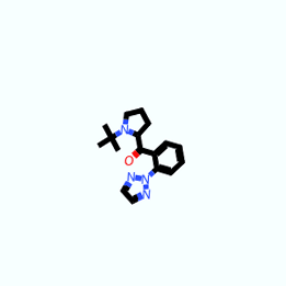 CC(C)(C)N1CCCC1C(=O)c1ccccc1-n1nccn1